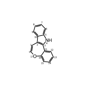 C1=Cc2c([nH]c3ccccc23)-c2ccccc2O1